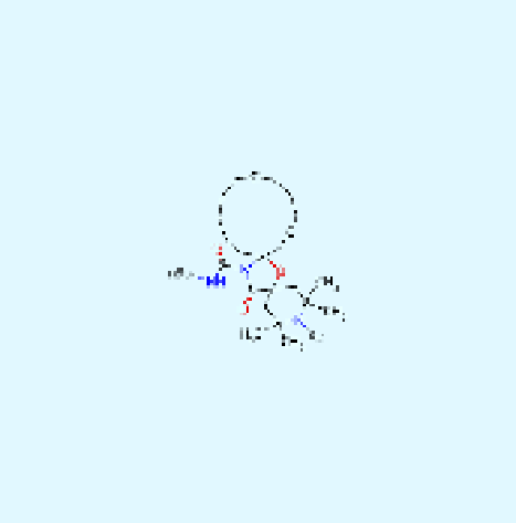 CCCCNC(=O)N1C(=O)C2(CC(C)(C)N(C(C)=O)C(C)(C)C2)OC12CCCCCCCCCCC2